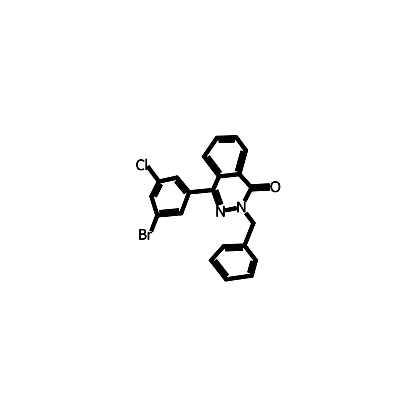 O=c1c2ccccc2c(-c2cc(Cl)cc(Br)c2)nn1Cc1ccccc1